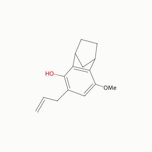 C=CCc1cc(OC)c2c(c1O)C1CCC2C1